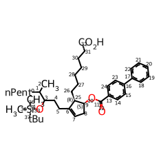 CCCCCC(C)C(CCC1=CC[C@H](OC(=O)c2ccc(-c3ccccc3)cc2)[C@@H]1CCCCCCC(=O)O)O[Si](C)(C)C(C)(C)C